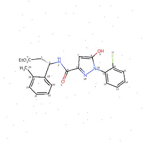 CCOC(=O)C[C@H](NC(=O)c1cc(O)n(-c2ccccc2F)n1)c1ccccc1C